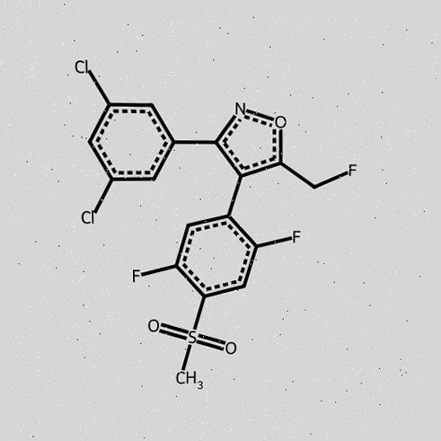 CS(=O)(=O)c1cc(F)c(-c2c(-c3cc(Cl)cc(Cl)c3)noc2CF)cc1F